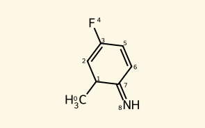 CC1C=C(F)C=CC1=N